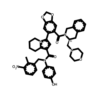 Cc1c(CN(C(=O)c2cc(-c3cc4c(cc3C(=O)N3Cc5ccccc5C[C@H]3CN3CCOCC3)OCO4)n3c2CCCC3)c2ccc(O)cc2)cccc1[N+](=O)[O-]